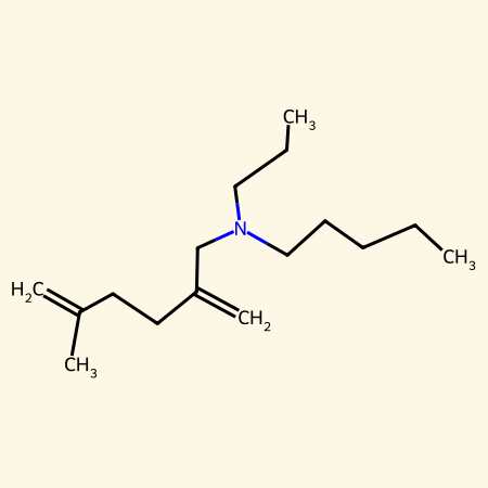 C=C(C)CCC(=C)CN(CCC)CCCCC